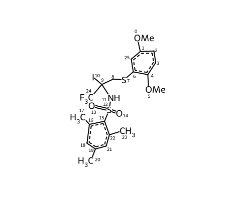 COc1ccc(OC)c(SCC(I)(NS(=O)(=O)c2c(C)cc(C)cc2C)C(F)(F)F)c1